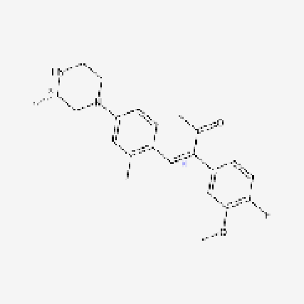 COc1cc(/C(=C/c2ccc(N3CCN[C@@H](C)C3)cc2C)C(C)=O)ccc1F